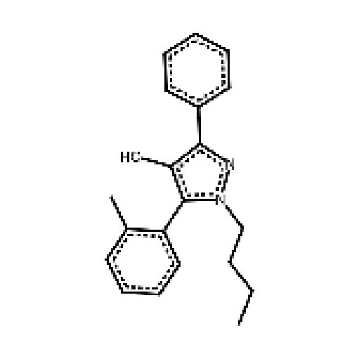 CCCCn1nc(-c2ccccc2)c(O)c1-c1ccccc1C